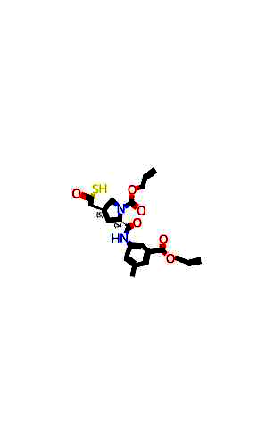 C=CCOC(=O)c1cc(C)cc(NC(=O)[C@@H]2C[C@@H](CC(=O)S)CN2C(=O)OCC=C)c1